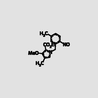 CCOC(=O)c1c(OC)c(C)cn1Cc1cc(C)ccc1N=O